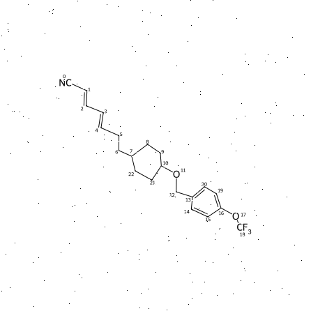 N#CC=CC=CCCC1CCC(OCc2ccc(OC(F)(F)F)cc2)CC1